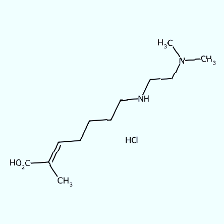 CC(=CCCCCNCCN(C)C)C(=O)O.Cl